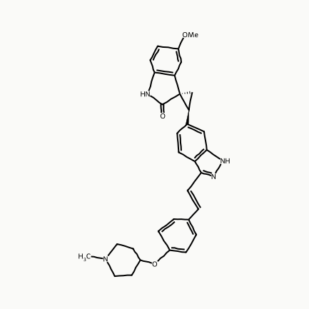 COc1ccc2c(c1)[C@]1(C[C@H]1c1ccc3c(C=Cc4ccc(OC5CCN(C)CC5)cc4)n[nH]c3c1)C(=O)N2